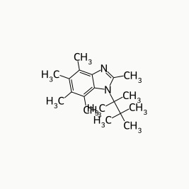 Cc1c(C)c(C)c2c(nc(C)n2C(C)(C)C(C)(C)C)c1C